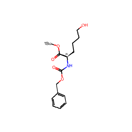 CC(C)(C)OC(=O)[C@@H](CCCCO)NC(=O)OCc1ccccc1